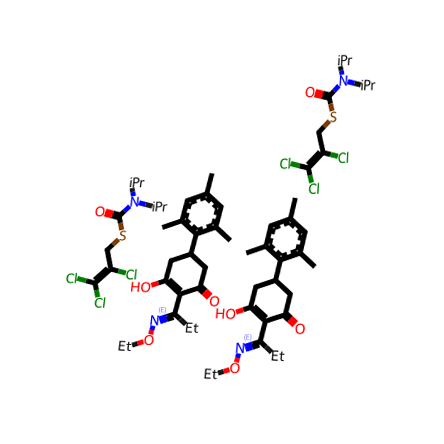 CC(C)N(C(=O)SCC(Cl)=C(Cl)Cl)C(C)C.CC(C)N(C(=O)SCC(Cl)=C(Cl)Cl)C(C)C.CCO/N=C(\CC)C1=C(O)CC(c2c(C)cc(C)cc2C)CC1=O.CCO/N=C(\CC)C1=C(O)CC(c2c(C)cc(C)cc2C)CC1=O